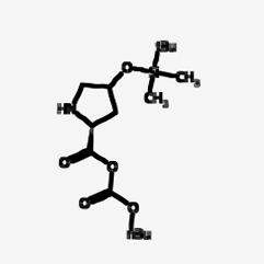 CCCCOC(=O)OC(=O)[C@@H]1CC(O[Si](C)(C)C(C)(C)C)CN1